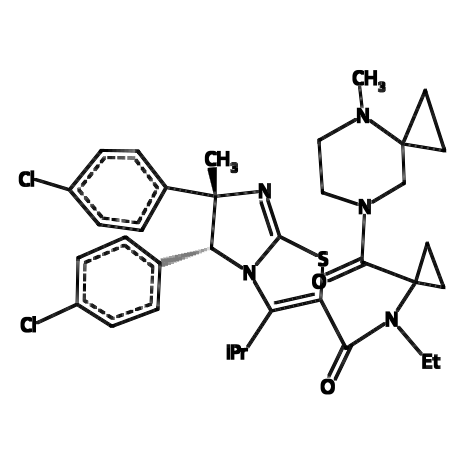 CCN(C(=O)C1=C(C(C)C)N2C(=N[C@@](C)(c3ccc(Cl)cc3)[C@H]2c2ccc(Cl)cc2)S1)C1(C(=O)N2CCN(C)C3(CC3)C2)CC1